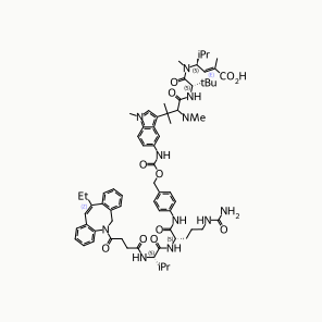 CC/C1=C/c2ccccc2N(C(=O)CCC(=O)N[C@H](C(=O)N[C@@H](CCCNC(N)=O)C(=O)Nc2ccc(COC(=O)Nc3ccc4c(c3)c(C(C)(C)C(NC)C(=O)N[C@H](C(=O)N(C)[C@H](/C=C(\C)C(=O)O)C(C)C)C(C)(C)C)cn4C)cc2)C(C)C)Cc2ccccc21